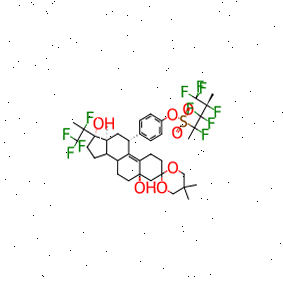 CC1(C)COC2(CCC3=C4C(CC[C@@]3(O)C2)C2CC[C@@](O)(C(C)(F)C(F)(F)F)[C@@]2(C)C[C@@H]4c2ccc(OS(=O)(=O)C(C)(F)C(F)(F)[C@@](C)(F)C(F)(F)F)cc2)OC1